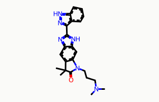 CN(C)CCCN1C(=O)C(C)(C)c2cc3nc(-c4n[nH]c5ccccc45)[nH]c3cc21